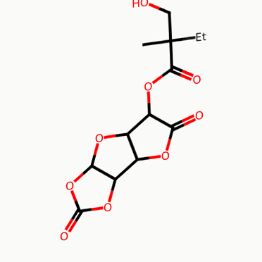 CCC(C)(CO)C(=O)OC1C(=O)OC2C3OC(=O)OC3OC12